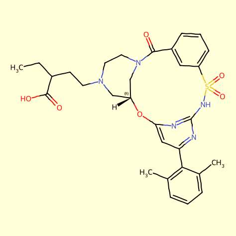 CCC(CCN1CCN2C[C@@H](C1)Oc1cc(-c3c(C)cccc3C)nc(n1)NS(=O)(=O)c1cccc(c1)C2=O)C(=O)O